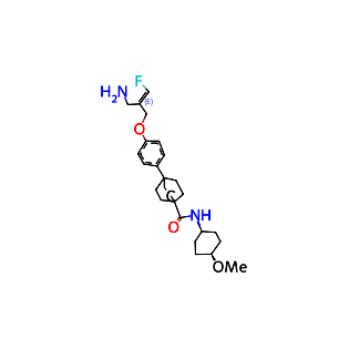 CO[C@H]1CC[C@@H](NC(=O)C23CCC(c4ccc(OC/C(=C/F)CN)cc4)(CC2)CC3)CC1